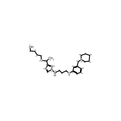 CC(OCCCCO)c1ncn(NCCCOc2cccc(CN3CCCCC3)c2)n1